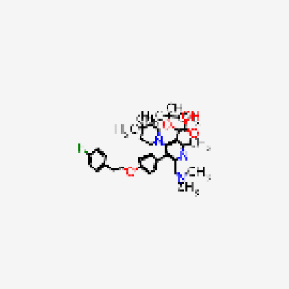 Cc1nc(CN(C)C)c(-c2ccc(OCCc3ccc(F)cc3)cc2)c(N2CCC(C)(C)CC2)c1C(OC(C)(C)C)C(=O)O